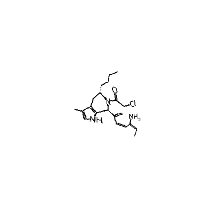 C=C(/C=C\C(N)=C/C)[C@H]1c2[nH]cc(C)c2C[C@H](CCCC)N1C(=O)CCl